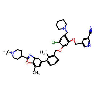 Cc1c(COc2cc(OCc3cncc(C#N)c3)c(CN3CCCCC3)cc2Cl)cccc1-c1cc(C)c2oc(C3CCN(C)CC3)nc2c1